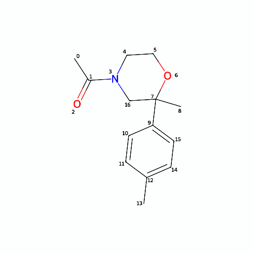 CC(=O)N1CCOC(C)(c2ccc(C)cc2)C1